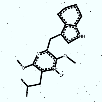 COc1nc(Cc2c[nH]c3ccccc23)c(OC)[n+]([O-])c1CC(C)C